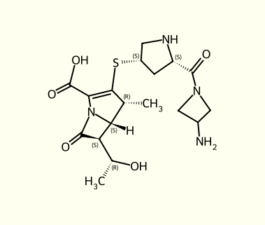 C[C@@H](O)[C@H]1C(=O)N2C(C(=O)O)=C(S[C@@H]3CN[C@H](C(=O)N4CC(N)C4)C3)[C@H](C)[C@H]12